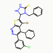 S=C1NNC(c2sc3nnc(-c4cccc(Cl)c4)c(C4C=CCC=C4)c3c2Br)N1Cc1ccccc1